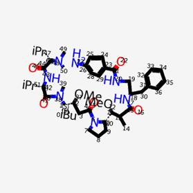 CC[C@H](C)[C@@H](C(CC(=O)N1CCC[C@H]1C(OC)C(C)C(=O)NC(CNC(=O)c1ccc(N)cc1)Cc1ccccc1)OC)N(C)C(=O)[C@@H](NC(=O)[C@H](C(C)C)N(C)C)C(C)C